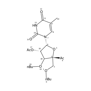 CCCCOC[C@@]1(C(C)=O)O[C@@H](n2cc(C)c(=O)[nH]c2=O)[C@@H](OC(C)=O)C1OCCCC